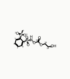 CS(=O)(=O)c1ccccc1S(=O)(=O)NOC(=O)OCCO